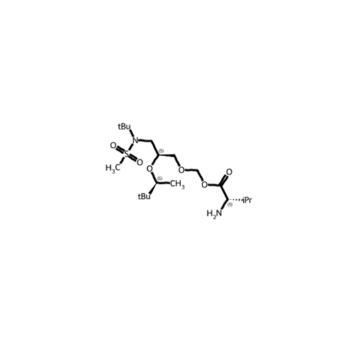 CC(C)[C@H](N)C(=O)OCOC[C@H](CN(C(C)(C)C)S(C)(=O)=O)O[C@@H](C)C(C)(C)C